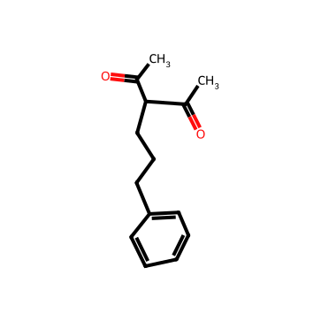 CC(=O)C(CCCc1ccccc1)C(C)=O